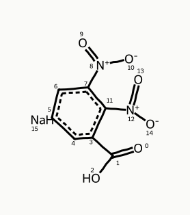 O=C(O)c1cccc([N+](=O)[O-])c1[N+](=O)[O-].[NaH]